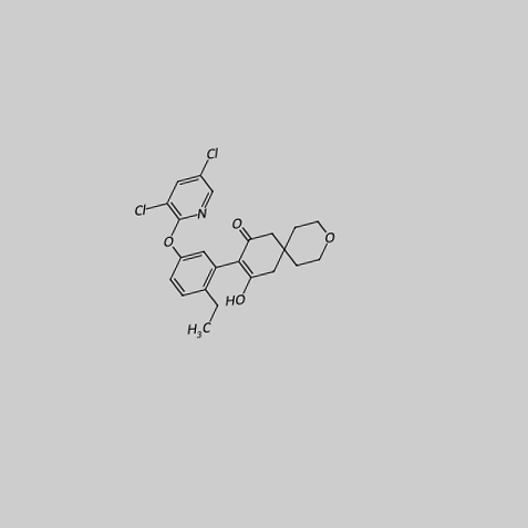 CCc1ccc(Oc2ncc(Cl)cc2Cl)cc1C1=C(O)CC2(CCOCC2)CC1=O